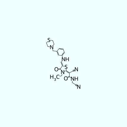 CCn1c(=C(C#N)C(=O)NCC#N)sc(=CNc2cccc(CN3CCSCC3)c2)c1=O